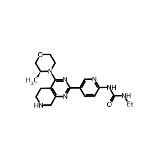 CCNC(=O)Nc1ccc(-c2nc3c(c(N4CCOC[C@@H]4C)n2)CCNC3)cn1